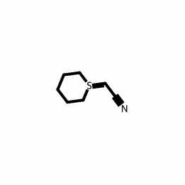 N#CC=S1CCCCC1